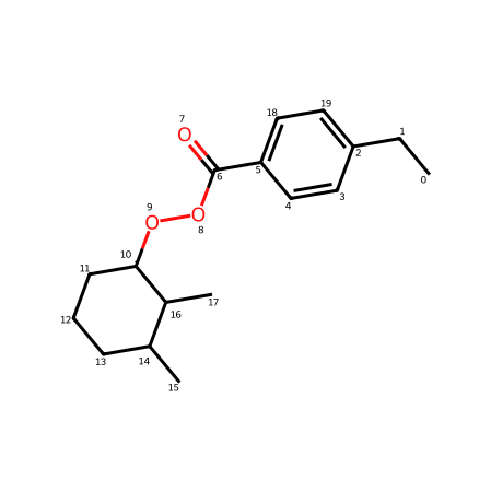 CCc1ccc(C(=O)OO[C]2CCCC(C)C2C)cc1